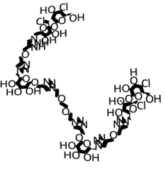 OC[C@H]1O[C@H](O[C@]2(CCl)O[C@H](Cn3cc(COCc4cn(C[C@H]5O[C@@H](OCc6cn(CCOCCOCCn7cc(CO[C@@H]8O[C@H](Cn9cc(COCC%10=CN(CC%11O[C@@](CCl)(O[C@@H]%12C[C@@H](O)[C@@H](Cl)[C@@H](CO)O%12)[C@@H](O)[C@@H]%11O)NN%10)nn9)C(O)[C@H](O)[C@@H]8O)nn7)nn6)[C@@H](O)[C@@H](O)C5O)nn4)nn3)[C@@H](O)[C@@H]2O)[C@H](O)[C@@H](O)[C@H]1Cl